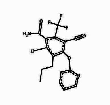 CCCc1c(Cl)c(C(N)=O)c(C(F)(F)F)c(C#N)c1Oc1ccccn1